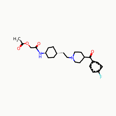 CC(=O)OCC(=O)N[C@H]1CC[C@H](CCN2CCC(C(=O)c3ccc(F)cc3)CC2)CC1